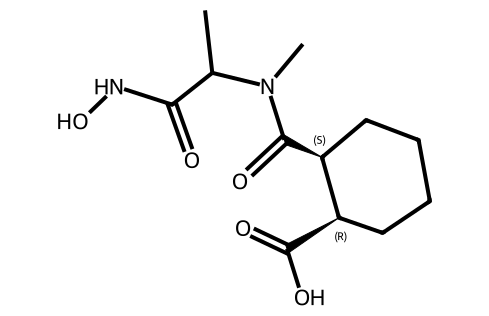 CC(C(=O)NO)N(C)C(=O)[C@H]1CCCC[C@H]1C(=O)O